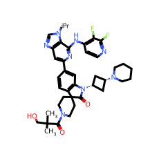 CC(C)n1cnc2cc(-c3ccc4c(c3)N([C@H]3C[C@@H](N5CCCCC5)C3)C(=O)C43CCN(C(=O)C(C)(C)CO)CC3)nc(Nc3ccnc(F)c3F)c21